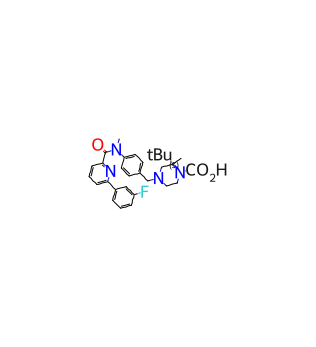 CN(C(=O)c1cccc(-c2cccc(F)c2)n1)c1ccc(CN2CCN(C(=O)O)[C@@](C)(C(C)(C)C)C2)cc1